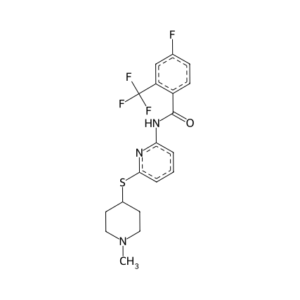 CN1CCC(Sc2cccc(NC(=O)c3ccc(F)cc3C(F)(F)F)n2)CC1